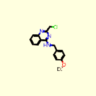 CCOc1ccc(CNc2nc(CCl)nc3ccccc23)cc1